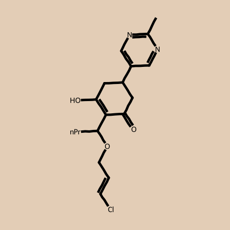 CCCC(OCC=CCl)C1=C(O)CC(c2cnc(C)nc2)CC1=O